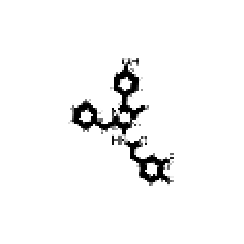 Cc1nc(NC(=O)Cc2ccc(F)c(F)c2)c(Cc2ccccc2)nc1-c1ccc(O)cc1